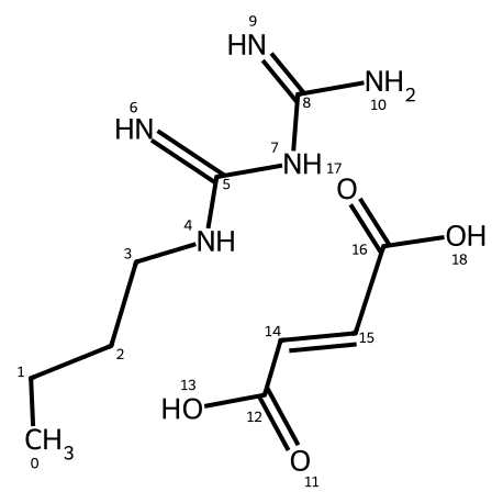 CCCCNC(=N)NC(=N)N.O=C(O)/C=C/C(=O)O